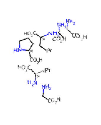 CC(C)C[C@H](N)C(=O)O.CC(C)[C@H](N)C(=O)O.NCC(=O)O.NCC(=O)O.NCC(=O)O.O=C(O)[C@@H]1CCCN1